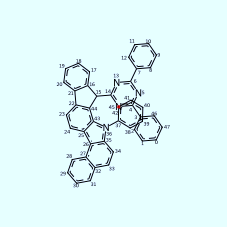 c1ccc(-c2nc(-c3ccccc3)nc(C3c4ccccc4-c4ccc5c6c7ccccc7ccc6n(-c6ccccc6)c5c43)n2)cc1